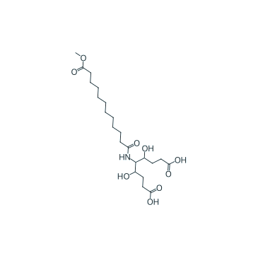 COC(=O)CCCCCCCCCCC(=O)NC(C(O)CCC(=O)O)C(O)CCC(=O)O